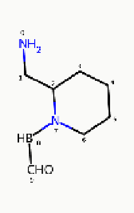 NCC1CCCCN1BC=O